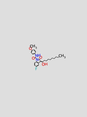 CCCCCCCCCC(O)=C1C(=O)N(C(=O)Nc2ccc(OC)cc2)c2ccc(F)cc21